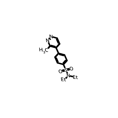 CCN(CC)S(=O)(=O)c1ccc(-c2ccnnc2C)cc1